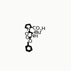 CCC(C)[C@H](NC(=O)OCc1ccccc1)C(=O)N1CCC[C@H]1C(=O)O